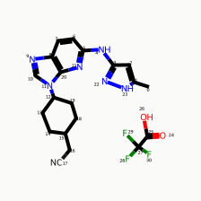 Cc1cc(Nc2ccc3ncn(C4CCC(CC#N)CC4)c3n2)n[nH]1.O=C(O)C(F)(F)F